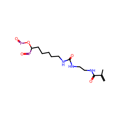 C=C(C)C(=O)NCCNC(=O)NCCCCCC(OP=O)P=O